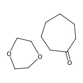 C1COCCO1.O=C1CCCCCC1